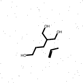 C=CC.OCCCC(CO)CO